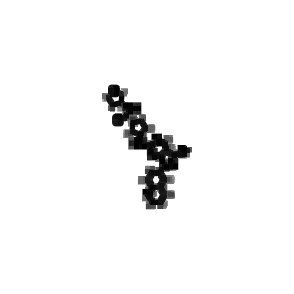 O=C(NC1CCOC1)[C@@H]1CC[C@@H](Nc2ncc3c(Br)nn(-c4ccc5ncccc5c4)c3n2)C1